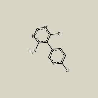 Nc1ncnc(Cl)c1-c1ccc(Cl)cc1